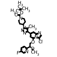 COC(COc1cc(-c2nnn(C3CCN(C(=O)OC(C)(C)C)CC3)c2C)cc2ncc(Cl)n12)c1ccc(F)cn1